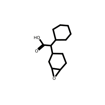 O=C(O)C(C1CCCCC1)C1CCC2OC2C1